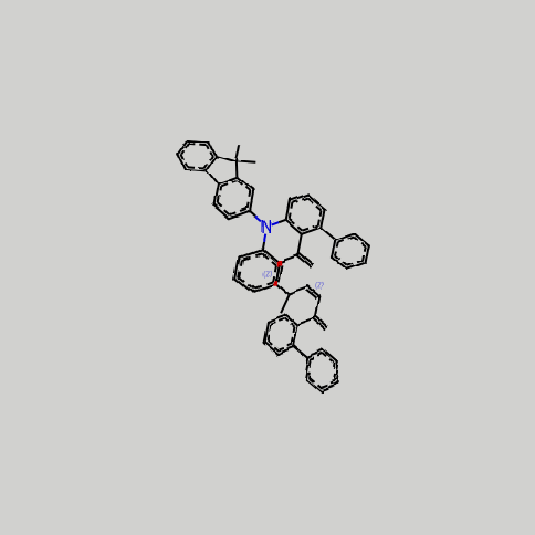 C=C(/C=C\C(C)/C=C\C(=C)c1c(-c2ccccc2)cccc1N(c1ccccc1)c1ccc2c(c1)C(C)(C)c1ccccc1-2)c1ccccc1-c1ccccc1